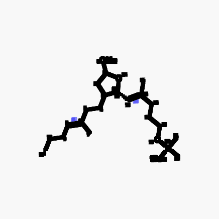 COC1CC(CC/C(C)=C/CCI)[C@@H](/C=C(\C)CCCO[Si](C)(C)C(C)(C)C)O1